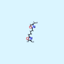 CCC1COC(CCCCC2=NC(C)CO2)=N1